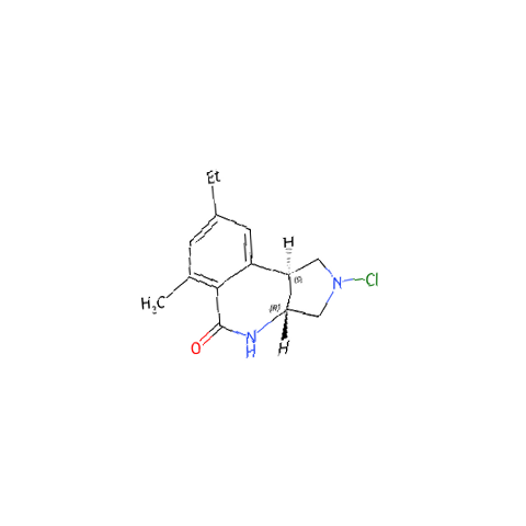 CCc1cc(C)c2c(c1)[C@H]1CN(Cl)C[C@@H]1NC2=O